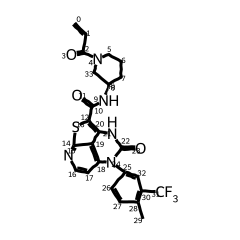 C=CC(=O)N1CCC[C@@H](NC(=O)c2sc3nccc4c3c2NC(=O)N4c2ccc(C)c(C(F)(F)F)c2)C1